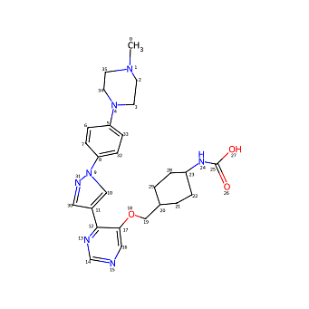 CN1CCN(c2ccc(-n3cc(-c4ncncc4OCC4CCC(NC(=O)O)CC4)cn3)cc2)CC1